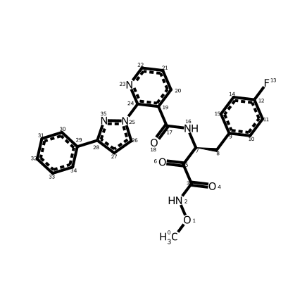 CONC(=O)C(=O)[C@H](Cc1ccc(F)cc1)NC(=O)c1cccnc1-n1ccc(-c2ccccc2)n1